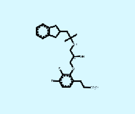 CCOC(=O)CCc1ccc(F)c(F)c1OC[C@H](O)CNC(C)(C)CC1Cc2ccccc2C1